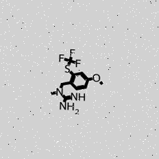 COc1ccc(CN(C)C(=N)N)c(SC(F)(F)F)c1